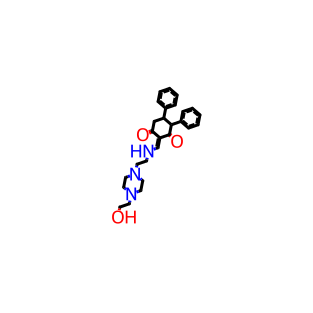 O=C1CC(c2ccccc2)C(c2ccccc2)C(=O)/C1=C/NCCN1CCN(CCO)CC1